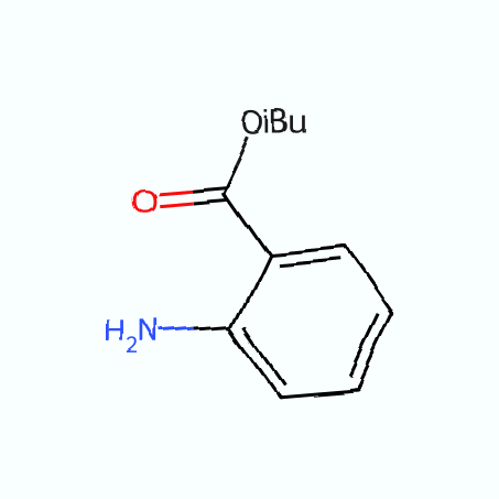 CC(C)COC(=O)c1ccccc1N